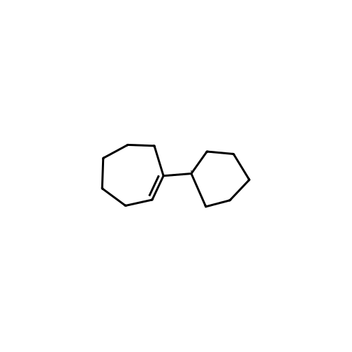 C1=C([C]2CCCCC2)CCCCC1